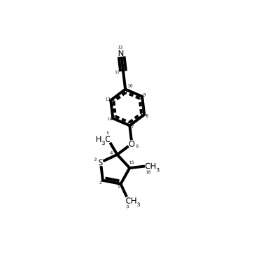 CC1=CSC(C)(Oc2ccc(C#N)cc2)C1C